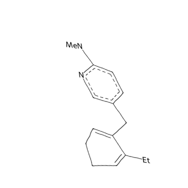 CCC1=CCCC=C1Cc1ccc(NC)nc1